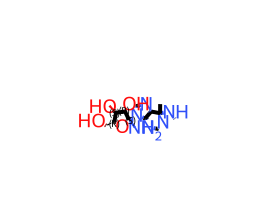 CNC1(C)N=CN=C2C1=NCN2[C@]1(N)O[C@H](CO)[C@@H](O)[C@H]1O